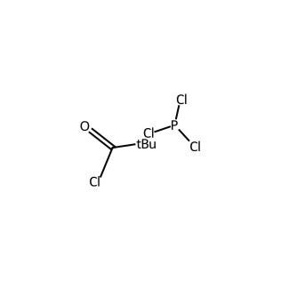 CC(C)(C)C(=O)Cl.ClP(Cl)Cl